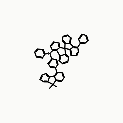 CC1(C)c2ccccc2-c2c(-c3ccc(N(c4ccccc4)c4cccc5c4-c4ccccc4C54c5ccccc5-c5c(-c6ccccc6)cccc54)cc3)cccc21